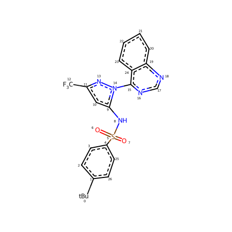 CC(C)(C)c1ccc(S(=O)(=O)Nc2cc(C(F)(F)F)nn2-c2ncnc3ccccc23)cc1